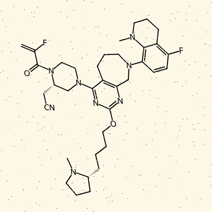 C=C(F)C(=O)N1CCN(c2nc(OCCCC[C@@H]3CCCN3C)nc3c2CCCN(c2ccc(F)c4c2N(C)CCC4)C3)C[C@@H]1CC#N